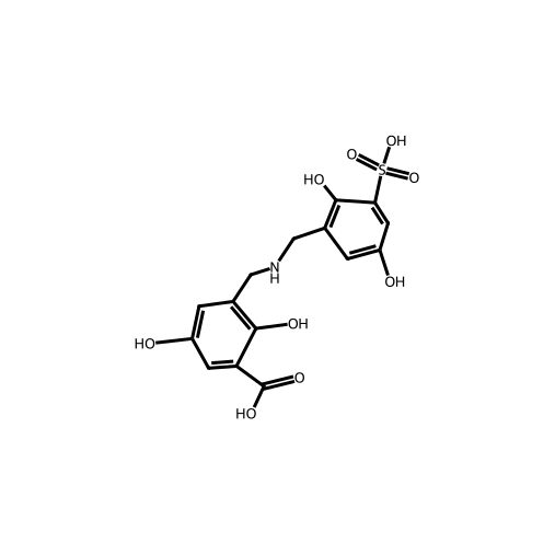 O=C(O)c1cc(O)cc(CNCc2cc(O)cc(S(=O)(=O)O)c2O)c1O